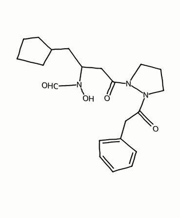 O=CN(O)C(CC(=O)N1CCCN1C(=O)Cc1ccccc1)CC1CCCC1